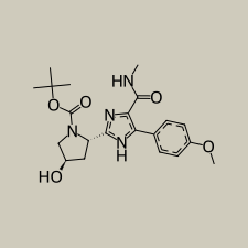 CNC(=O)c1nc([C@@H]2C[C@@H](O)CN2C(=O)OC(C)(C)C)[nH]c1-c1ccc(OC)cc1